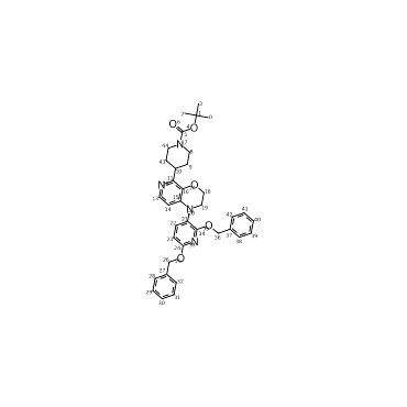 CC(C)(C)OC(=O)N1CCC(c2nccc3c2OCCN3c2ccc(OCc3ccccc3)nc2OCc2ccccc2)CC1